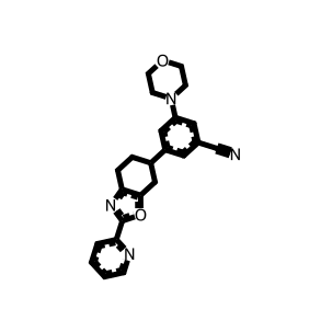 N#Cc1cc(C2CCc3nc(-c4ccccn4)oc3C2)cc(N2CCOCC2)c1